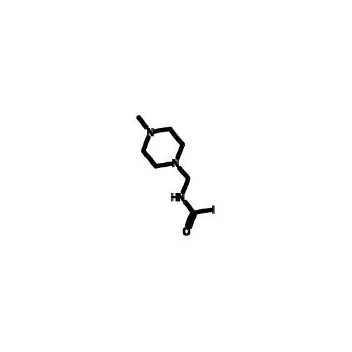 CN1CCN(CNC(=O)I)CC1